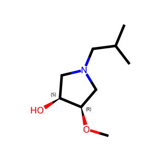 CO[C@@H]1CN(CC(C)C)C[C@@H]1O